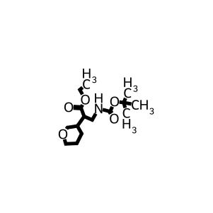 CCOC(=O)C(CNC(=O)OC(C)(C)C)C1CCCOC1